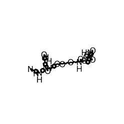 Cn1cc(-c2ccc(N(C(=O)NCc3ccc(OCCOCCCCOCCCCNC(=O)COc4cccc5c4C(=O)N(C4CCC(=O)NC4=O)C5=O)cc3)[C@H]3CC[C@H](Nc4ccc(C#N)cn4)CC3)cc2)ccc1=O